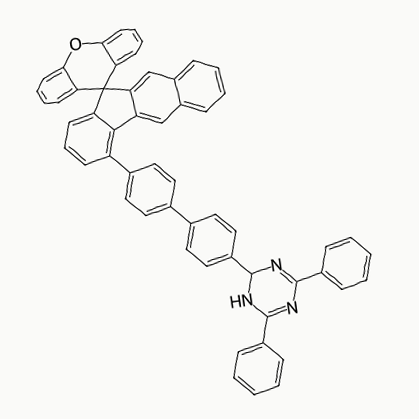 c1ccc(C2=NC(c3ccc(-c4ccc(-c5cccc6c5-c5cc7ccccc7cc5C65c6ccccc6Oc6ccccc65)cc4)cc3)NC(c3ccccc3)=N2)cc1